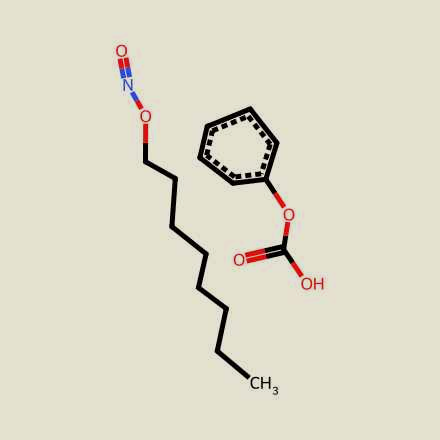 CCCCCCCCON=O.O=C(O)Oc1ccccc1